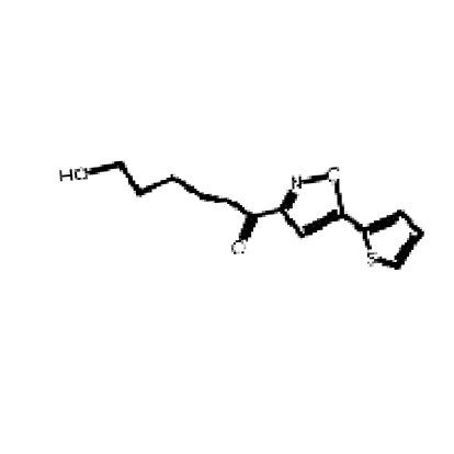 O=C(CCCCCO)c1cc(-c2cccs2)on1